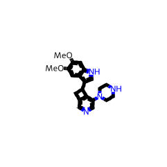 COc1cc2[nH]cc(C3Cc4[c]ncc(N5CCNCC5)c43)c2cc1OC